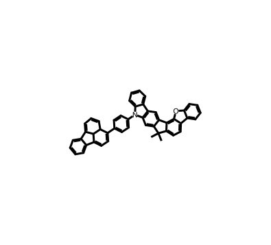 CC1(C)c2cc3c(cc2-c2c1ccc1c2oc2ccccc21)c1ccccc1n3-c1ccc(C2=CC=C3c4ccccc4C4=CC=CC2C43)cc1